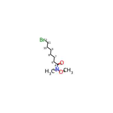 CON(C)C(=O)CCCCCCBr